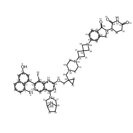 CCc1cccc2cc(O)cc(-c3ncc4c(N5CC6CCC(C5)N6)nc(OCC5(CN6CCN(C7CC8(C7)CN(c7ccc9c(c7)CN(C7CCC(=O)NC7=O)C9=O)C8)CC6)CC5)nc4c3F)c12